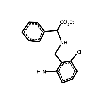 CCOC(=O)C(NCc1c(N)cccc1Cl)c1ccccc1